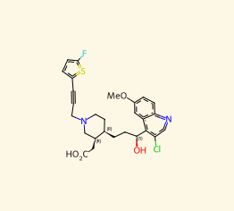 COc1ccc2ncc(Cl)c([C@@H](O)CC[C@@H]3CCN(CC#Cc4ccc(F)s4)C[C@@H]3CC(=O)O)c2c1